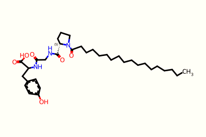 CCCCCCCCCCCCCCCCCC(=O)N1CCC[C@H]1C(=O)NCC(=O)NC(Cc1ccc(O)cc1)C(=O)O